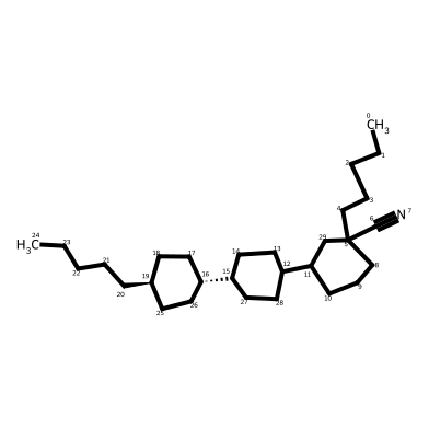 CCCCCC1(C#N)CCCC(C2CCC([C@H]3CC[C@H](CCCCC)CC3)CC2)C1